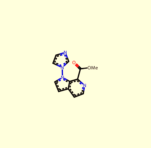 COC(=O)c1nccc2ccn(-n3ccnc3)c12